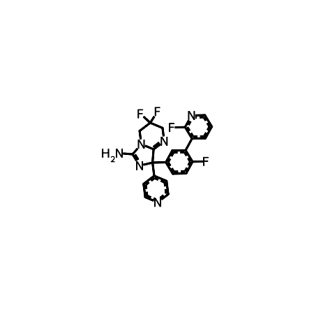 NC1=NC(c2ccncc2)(c2ccc(F)c(-c3cccnc3F)c2)C2=NCC(F)(F)CN12